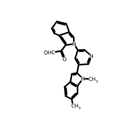 Cc1ccc2cc(-c3cncc(-n4cc5ccccc5c4C(=O)C=O)c3)n(C)c2c1